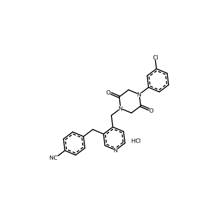 Cl.N#Cc1ccc(Cc2cnccc2CN2CC(=O)N(c3cccc(Cl)c3)CC2=O)cc1